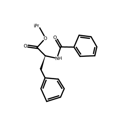 CC(C)OC(=O)[C@H](Cc1ccccc1)NC(=O)c1ccccc1